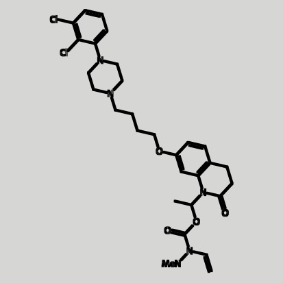 C=CN(NC)C(=O)OC(C)N1C(=O)CCc2ccc(OCCCCN3CCN(c4cccc(Cl)c4Cl)CC3)cc21